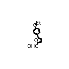 CCOc1ccc(-c2ccc(C=O)o2)cc1